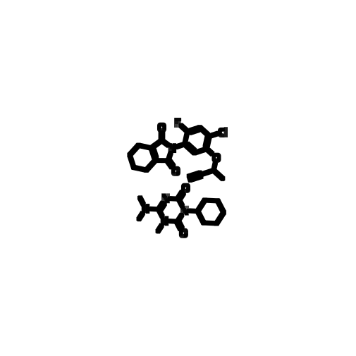 C#CC(C)Oc1cc(N2C(=O)C3=C(CCCC3)C2=O)c(F)cc1Cl.CN(C)c1nc(=O)n(C2CCCCC2)c(=O)n1C